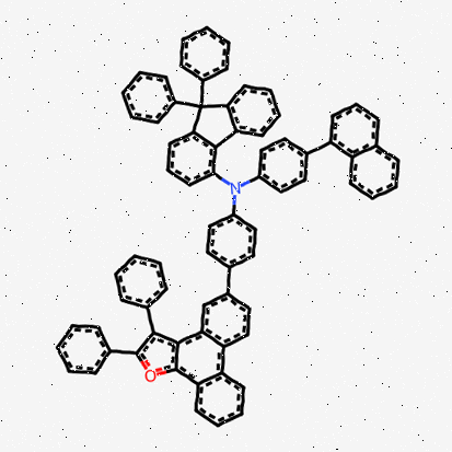 c1ccc(-c2oc3c4ccccc4c4ccc(-c5ccc(N(c6ccc(-c7cccc8ccccc78)cc6)c6cccc7c6-c6ccccc6C7(c6ccccc6)c6ccccc6)cc5)cc4c3c2-c2ccccc2)cc1